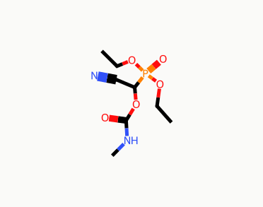 CCOP(=O)(OCC)C(C#N)OC(=O)NC